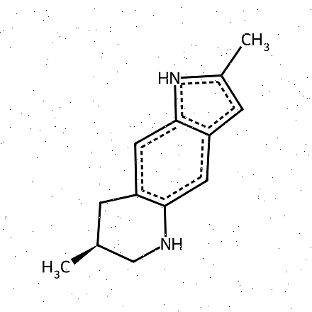 Cc1cc2cc3c(cc2[nH]1)C[C@H](C)CN3